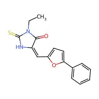 CCN1C(=O)/C(=C\c2ccc(-c3ccccc3)o2)NC1=S